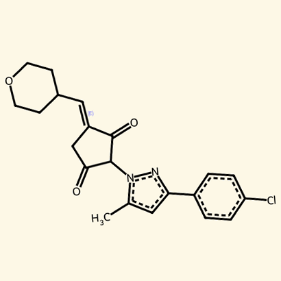 Cc1cc(-c2ccc(Cl)cc2)nn1C1C(=O)C/C(=C\C2CCOCC2)C1=O